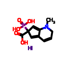 CN1CC=CC2=CC(C(=O)O)(P(=O)(O)O)C=C21.I